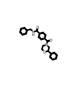 O=C(NCc1ccccc1)c1ccc(C(=O)N2CCOC(c3ccccc3)C2)cc1